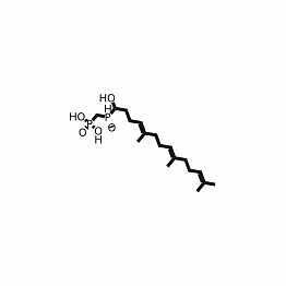 CC(C)=CCC/C(C)=C/CC/C(C)=C/CCC(O)[PH](=O)CP(=O)(O)O